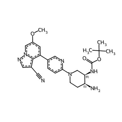 COc1cc(-c2ccc(N3CC[C@H](N)[C@H](NC(=O)OC(C)(C)C)C3)nc2)c2c(C#N)cnn2c1